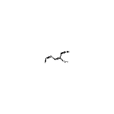 C/C=C\C=C(/C=N)OC